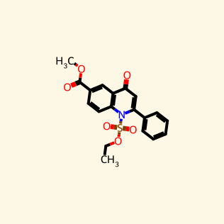 CCOS(=O)(=O)n1c(-c2ccccc2)cc(=O)c2cc(C(=O)OC)ccc21